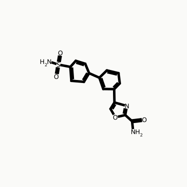 NC(=O)c1nc(-c2cccc(-c3ccc(S(N)(=O)=O)cc3)c2)co1